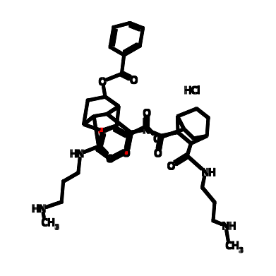 CNCCCNC(=O)C1C2CCC(C(OC(=O)c3ccccc3)C2)C1C(=O)NC(=O)C1C2CCC(CC2OC(=O)c2ccccc2)C1C(=O)NCCCNC.Cl